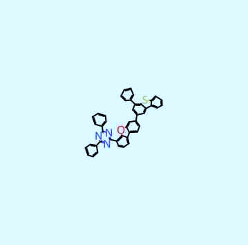 c1ccc(-c2nc(-c3ccccc3)nc(-c3cccc4c3oc3cc(-c5cc(-c6ccccc6)c6sc7ccccc7c6c5)ccc34)n2)cc1